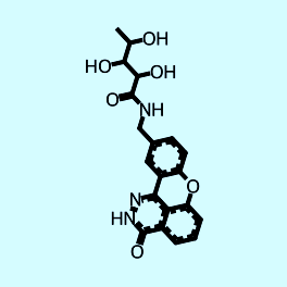 CC(O)C(O)C(O)C(=O)NCc1ccc2c(c1)-c1n[nH]c(=O)c3cccc(c13)O2